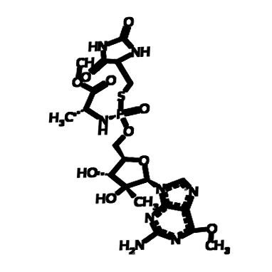 COC(=O)[C@@H](C)N[P@](=O)(OC[C@H]1O[C@@H](n2cnc3c(OC)nc(N)nc32)[C@](C)(O)[C@@H]1O)SCC1NC(=O)NC1=O